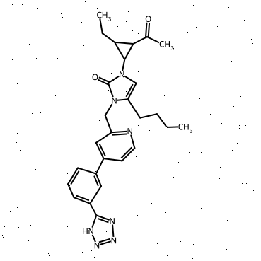 CCCCc1cn(C2C(CC)C2C(C)=O)c(=O)n1Cc1cc(-c2cccc(-c3nnn[nH]3)c2)ccn1